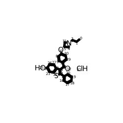 CCCN1CC(Oc2ccc(C(=O)c3c(-c4ccccc4)sc4cc(O)ccc34)cc2)C1.Cl